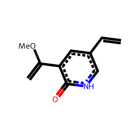 C=Cc1c[nH]c(=O)c(C(=C)OC)c1